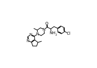 CC1CCc2ncnc(N3CCN(C(=O)C(N)Cc4ccc(Cl)cc4)CC3C)c21